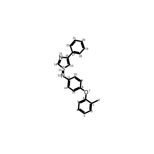 Cc1ccccc1Oc1ccc(N=S2C=NC(c3ccccc3)=C2)cc1